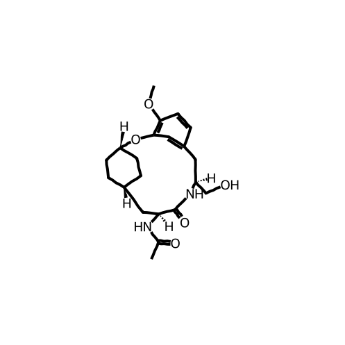 COc1ccc2cc1O[C@H]1CC[C@H](CC1)C[C@H](NC(C)=O)C(=O)N[C@H](CO)C2